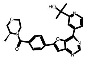 C[C@H]1COCCN1C(=O)c1ccc(-c2cc3ncnc(-c4ccnc(C(C)(C)O)c4)c3o2)cc1